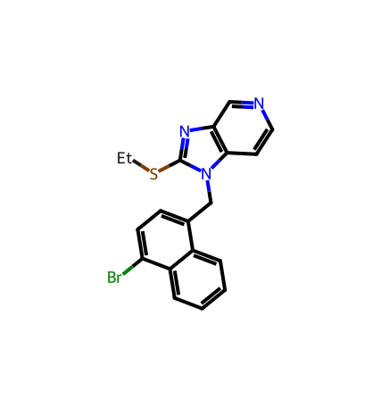 CCSc1nc2cnccc2n1Cc1ccc(Br)c2ccccc12